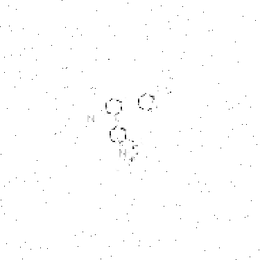 CN1c2cc(-c3cc(Oc4ccnc(C#N)c4)ccc3C#N)ccc2N(CC(C)(C)C)S1(=O)=O